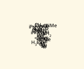 CCC(C)C(C(CC(=O)N1CCC[C@H]1C(OC)C(C)C(=O)NC(Cc1ccccc1)c1nccs1)ON)N(C)C(=O)C(NC(=O)C(C(C)C)C(C)CCOCCOC(=O)NC)C(C)C